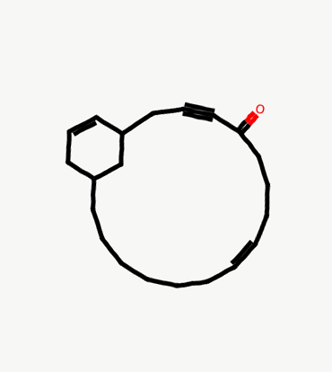 O=C1C#CCC2C=CCC(CCCCCC/C=C\CCC1)C2